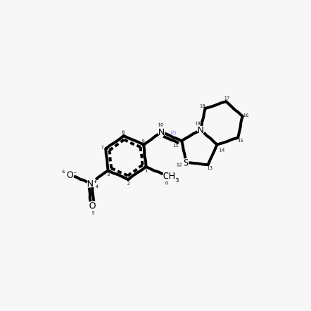 Cc1cc([N+](=O)[O-])ccc1/N=C1\SCC2CCCCN12